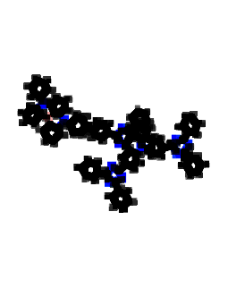 c1ccc(-c2cc(-c3cc(-c4nc(-c5ccccc5)nc(-c5ccccc5)n4)ccc3-n3c4ccccc4c4cc(-c5nc(-c6ccccc6)nc(-c6ccccc6)n5)ccc43)nc(-c3ccc(-c4ccc(N5c6ccccc6B6c7ccccc7N(c7ccccc7)c7cccc5c76)cc4)cc3)n2)cc1